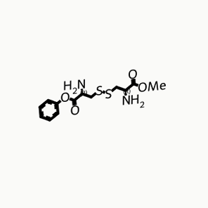 COC(=O)[C@@H](N)CSSC[C@H](N)C(=O)Oc1ccccc1